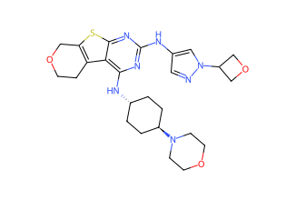 c1nn(C2COC2)cc1Nc1nc(N[C@H]2CC[C@H](N3CCOCC3)CC2)c2c3c(sc2n1)COCC3